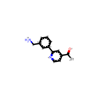 CCC(=O)c1ccnc(-c2cccc(CN)c2)c1